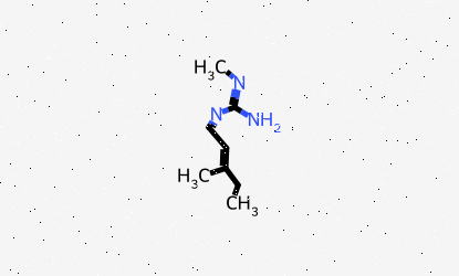 CC/C(C)=C/C=N\C(N)=N/C